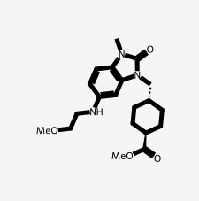 COCCNc1ccc2c(c1)n(C[C@H]1CC[C@H](C(=O)OC)CC1)c(=O)n2C